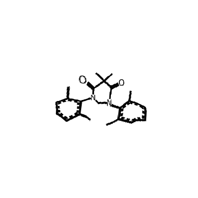 Cc1cccc(C)c1N1CN(c2c(C)cccc2C)C(=O)C(C)(C)C1=O